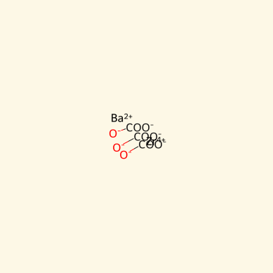 O=C([O-])[O-].O=C([O-])[O-].O=C([O-])[O-].[Ba+2].[Zr+4]